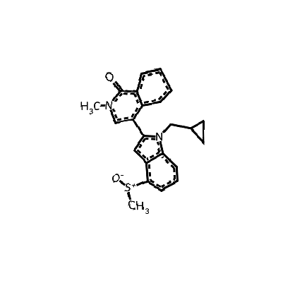 Cn1cc(-c2cc3c([S+](C)[O-])cccc3n2CC2CC2)c2ccccc2c1=O